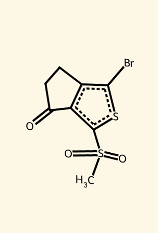 CS(=O)(=O)c1sc(Br)c2c1C(=O)CC2